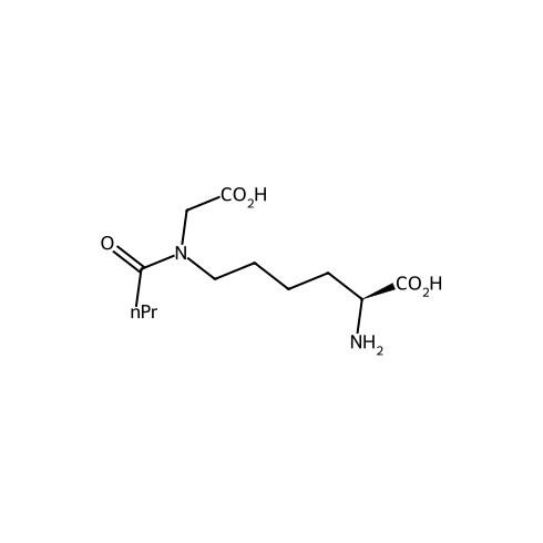 CCCC(=O)N(CCCC[C@H](N)C(=O)O)CC(=O)O